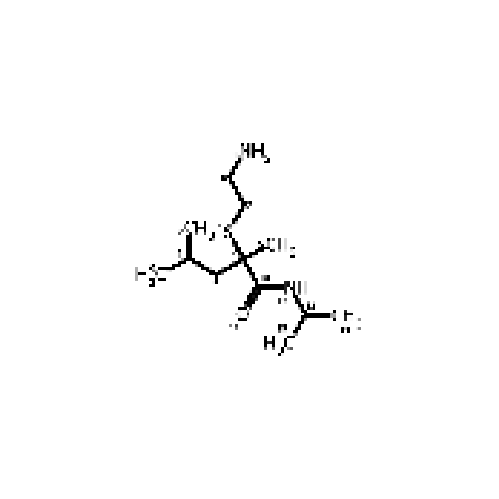 CC(C)CC(C)(SCCN)C(=O)NC(C)C